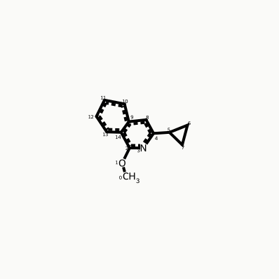 COc1nc(C2CC2)cc2ccccc12